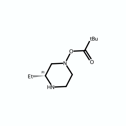 CC[C@@H]1CN(OC(=O)C(C)(C)C)CCN1